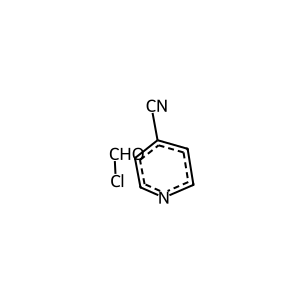 N#Cc1ccncc1.O=CCl